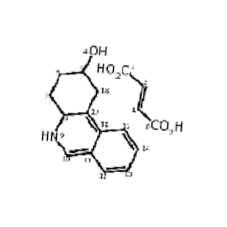 O=C(O)C=CC(=O)O.OC1CCC2NC=c3ccccc3=C2C1